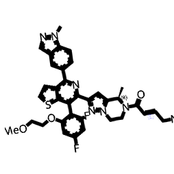 COCCOc1cc(F)cc(F)c1-c1c(-c2cc3n(n2)CCN(C(=O)/C=C/CN(C)C)[C@@H]3C)nc(-c2ccc3c(cnn3C)c2)c2ccsc12